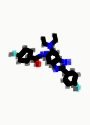 CCN(CC)c1cc2[nH]c(-c3ccc(F)cc3)nc2cc1NC(=O)c1ccc(F)cc1